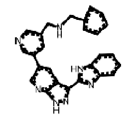 c1ccc(CNCc2cncc(-c3cnc4[nH]nc(-c5nc6ccccc6[nH]5)c4c3)c2)cc1